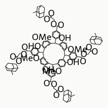 COc1cc(O)c2cc1C(c1ccc(C(=O)OCC(=O)OC3C4CC5CC3CC(C)(C5)C4)cc1)c1cc(c(OC)cc1O)C(c1ccc(C(=O)OCC(=O)OC3C4CC5CC3CC(C)(C5)C4)cc1)c1cc(c(OC)cc1O)C(c1ccc(C(=O)OCC(=O)OC3C4CC5CC3CC(C)(C5)C4)cc1)c1cc(c(OC)cc1O)C2c1ccc(C(=O)OCC(=O)OC2C3CC4CC2CC(C)(C4)C3)cc1